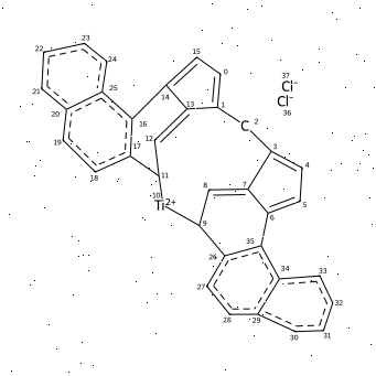 C1=C2CC3=CC=C4C3=C[CH]([Ti+2][CH]3C=C2C(=C1)c1c3ccc2ccccc12)c1ccc2ccccc2c14.[Cl-].[Cl-]